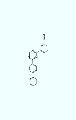 N#Cc1cccc(-c2ncnc(-c3ccc(-c4ccccc4)cc3)n2)c1